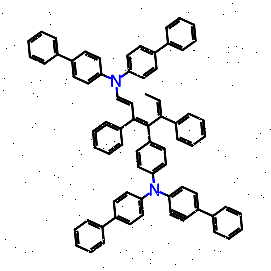 C\C=C(/C(=C(\C=C\N(c1ccc(-c2ccccc2)cc1)c1ccc(-c2ccccc2)cc1)C1=C=C=CC=C1)c1ccc(N(c2c#cc(-c3ccccc3)cc2)c2ccc(-c3ccccc3)cc2)cc1)c1ccccc1